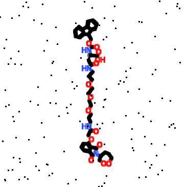 O=C(COc1cccc2c1C(=O)N(C1CCCOOC1)C2=O)NCCCOCCOCCOCCCNC(=O)C[C@H](NC(=O)OCC1c2ccccc2-c2ccccc21)C(=O)O